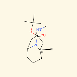 CN[C@H]1CC2CCC[C@@H](C1)N2C(=O)OC(C)(C)C